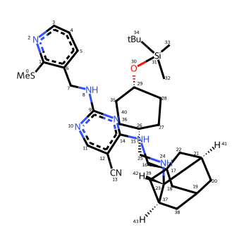 CSc1ncccc1CNc1ncc(C#N)c(NC[C@]23CC4C[C@H](C2)[C@@H](NC[C@H]2CC[C@@H](O[Si](C)(C)C(C)(C)C)CC2)[C@@H](C4)C3)n1